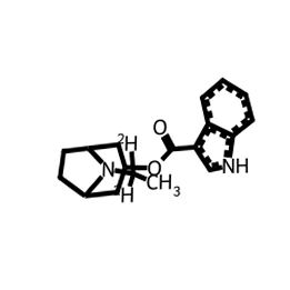 [2H]C([2H])(C)N1C2CCC1CC(OC(=O)c1c[nH]c3ccccc13)C2